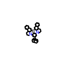 c1ccc2c3c4c(cc2c1)B1c2cc5ccccc5c5c2N(CCC5)c2cc(C56CC7CC(CC(C7)C5)C6)cc(c21)N4CCC3